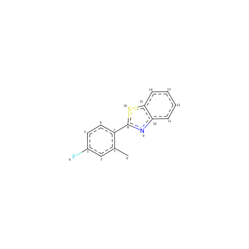 Cc1cc(F)ccc1-c1nc2ccccc2s1